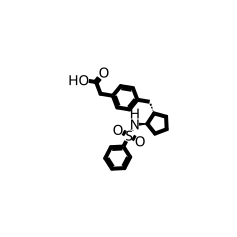 O=C(O)Cc1ccc(C[C@@H]2CCC[C@H]2NS(=O)(=O)c2ccccc2)cc1